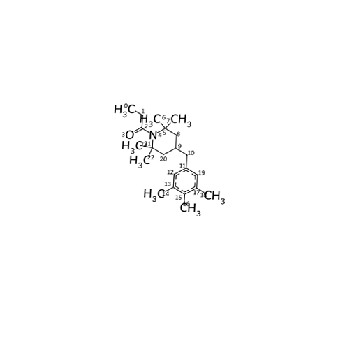 CCC(=O)N1C(C)(C)CC(Cc2cc(C)c(C)c(C)c2)CC1(C)C